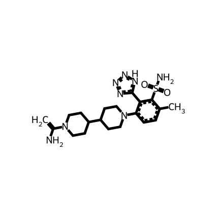 C=C(N)N1CCC(C2CCN(c3ccc(C)c(S(N)(=O)=O)c3-c3nnn[nH]3)CC2)CC1